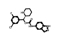 O=C(Nc1ccc2[nH]ncc2c1)OC(c1cc(F)cc(Cl)c1)[C@@H]1CCCCN1